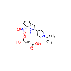 CC(C)N1CCC(c2cc3cccc([N+](=O)[O-])c3[nH]2)CC1.O=C(O)C=CC(=O)O